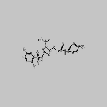 CB(O)N1C[C@H](NS(=O)(=O)c2cc(Br)ccc2Br)C[C@@H]1COC(=O)Nc1ccc(C(F)(F)F)cc1